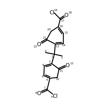 CC(C)(C1=CC=C(C(=O)Cl)CC1=O)C1=CC=C(C(=O)Cl)CC1=O